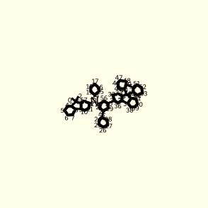 CC1(C)c2ccccc2-c2ccc(N(c3ccccc3)c3cc(-c4ccccc4)cc(-c4ccc5c(c4)-c4ccccc4C54c5ccccc5-c5ccccc54)c3)cc21